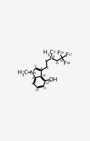 CN(CCc1cn(C)c2cccc(O)c12)CC(F)(F)F